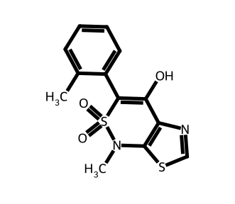 Cc1ccccc1C1=C(O)c2ncsc2N(C)S1(=O)=O